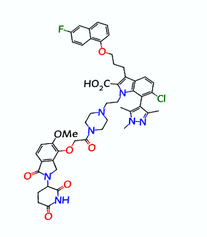 COc1ccc2c(c1OCC(=O)N1CCN(CCn3c(C(=O)O)c(CCCOc4cccc5cc(F)ccc45)c4ccc(Cl)c(-c5c(C)nn(C)c5C)c43)CC1)CN(C1CCC(=O)NC1=O)C2=O